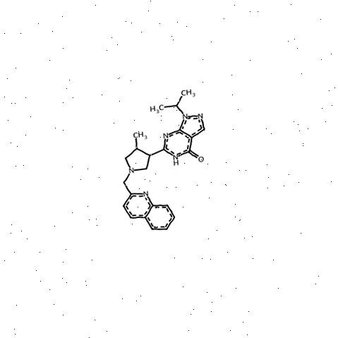 CC1CN(Cc2ccc3ccccc3n2)CC1c1nc2c(cnn2C(C)C)c(=O)[nH]1